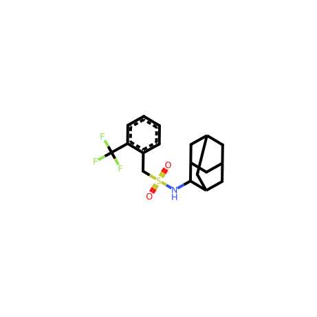 O=S(=O)(Cc1ccccc1C(F)(F)F)NC1C2CC3CC(C2)CC1C3